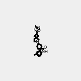 Cc1ccc2c(c1)C1(CCC(N3CCC4(CC(c5nc(C)no5)C4)C3)CC1)C(=O)N2